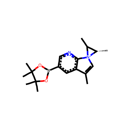 CC1=C[N+]2(c3ncc(B4OC(C)(C)C(C)(C)O4)cc31)C(C)[C@@H]2C